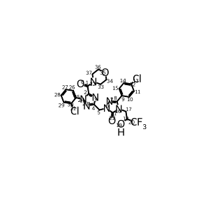 O=C(c1nc(Cn2nc(-c3ccc(Cl)cc3)n(CC(O)C(F)(F)F)c2=O)nn1-c1ccccc1Cl)N1CCOCC1